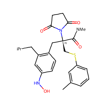 CNC(=O)[C@](CSc1cccc(C)c1)(Cc1ccc(NO)cc1CC(C)C)N1C(=O)CCC1=O